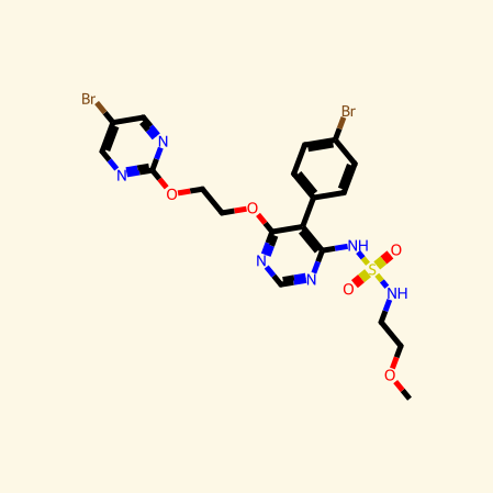 COCCNS(=O)(=O)Nc1ncnc(OCCOc2ncc(Br)cn2)c1-c1ccc(Br)cc1